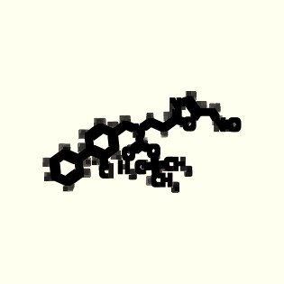 CC(C)(C)OC(=O)N(CCc1ncc(CN=O)o1)Cc1ccc(-c2ccccc2)c(Cl)c1